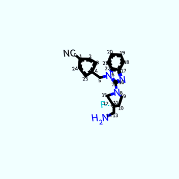 N#Cc1ccc(Cn2c(N3CC[C@@](F)(CN)C3)nc3ccccc32)cc1